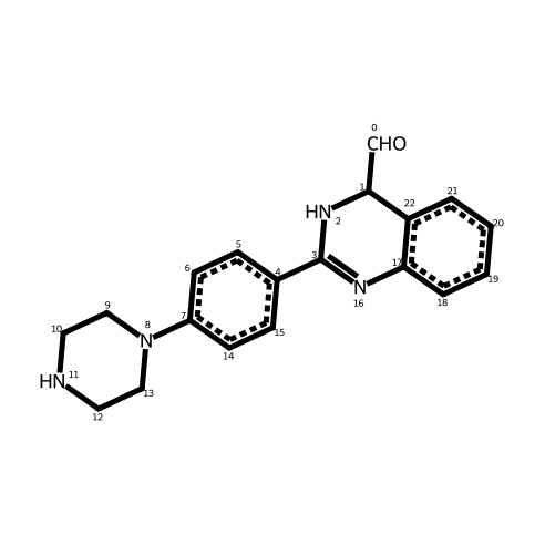 O=CC1NC(c2ccc(N3CCNCC3)cc2)=Nc2ccccc21